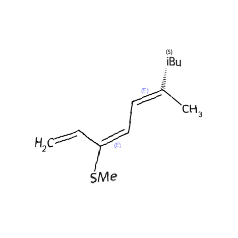 C=C/C(=C\C=C(/C)[C@@H](C)CC)SC